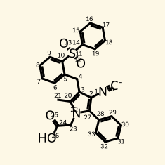 [C-]#[N+]c1c(Cc2ccccc2S(=O)(=O)c2ccccc2)c(C)n(CC(=O)O)c1-c1ccccc1